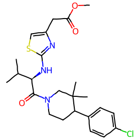 COC(=O)Cc1csc(N[C@@H](C(=O)N2CCC(c3ccc(Cl)cc3)C(C)(C)C2)C(C)C)n1